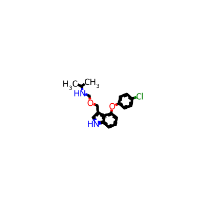 CC(C)NCOCc1c[nH]c2cccc(Oc3ccc(Cl)cc3)c12